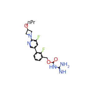 CCCOC1CN(c2ncc(-c3cccc(COC(=O)NC(=N)N)c3F)cc2F)C1